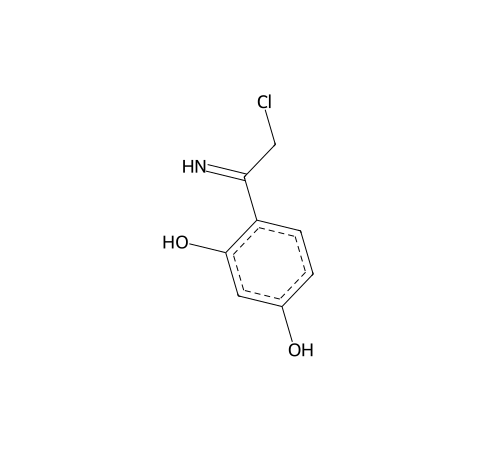 N=C(CCl)c1ccc(O)cc1O